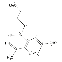 COCCCN(F)c1cc(C=O)ccc1C(C)=N